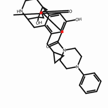 O=C1CC23CCNC(Cc4c(CC5CC5)cc(O)cc42)C3(O)CC1CC(=O)N1CCN(c2ccccc2)CC1